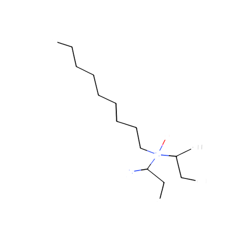 CCCCCCCCC[N+]([O-])(C(C)CC)C(N)CC